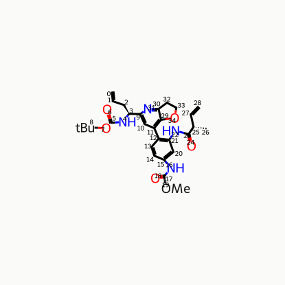 C=CC[C@H](NC(=O)OC(C)(C)C)c1cc(-c2ccc(NC(=O)OC)cc2NC(=O)[C@@H](C)C=C)c2c(n1)CCO2